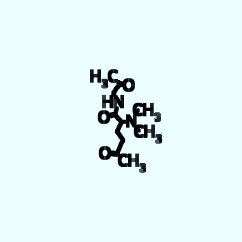 CC(=O)CCC(C(=O)NCC(C)=O)N(C)C